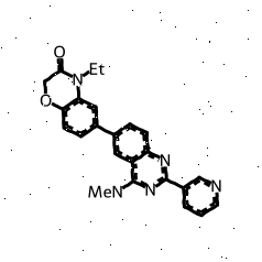 CCN1C(=O)COc2ccc(-c3ccc4nc(-c5cccnc5)nc(NC)c4c3)cc21